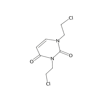 O=c1ccn(CCCl)c(=O)n1CCCl